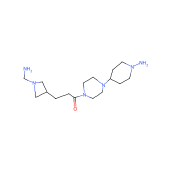 NCN1CC(CCC(=O)N2CCN(C3CCN(N)CC3)CC2)C1